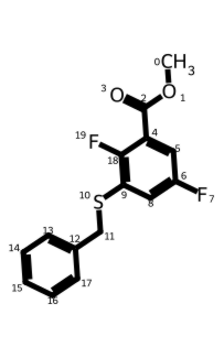 COC(=O)c1cc(F)cc(SCc2ccccc2)c1F